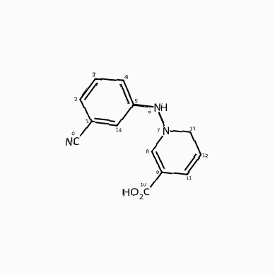 N#Cc1cccc(NN2C=C(C(=O)O)C=CC2)c1